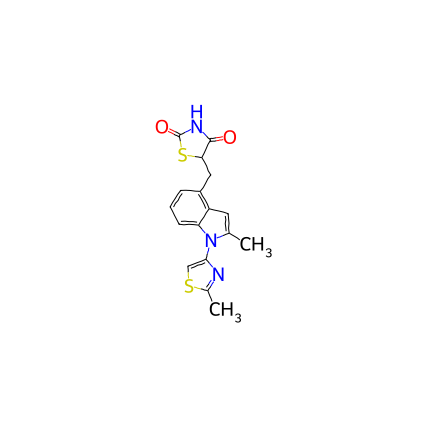 Cc1nc(-n2c(C)cc3c(CC4SC(=O)NC4=O)cccc32)cs1